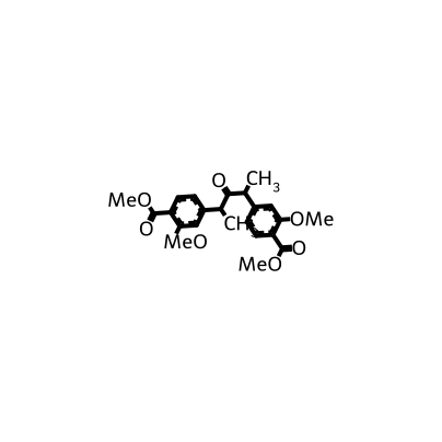 COC(=O)c1ccc(C(C)C(=O)C(C)c2ccc(C(=O)OC)c(OC)c2)cc1OC